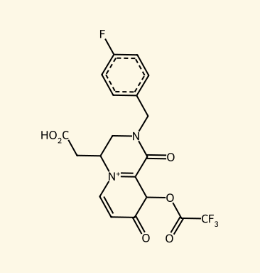 O=C(O)CC1CN(Cc2ccc(F)cc2)C(=O)C2=[N+]1C=CC(=O)C2OC(=O)C(F)(F)F